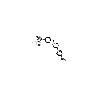 C[C@H](O[Si](C)(C)C(C)(C)C)c1ccc(CN2CC=C(c3ccc([N+](=O)[O-])nc3)CC2)cc1